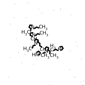 C1CCNC1.CCCC1CCCN1CCC.CCCCC1CCCN1CCCC.CCCCN1CCCC1.CCCCN1CCCC1C.CCCCN1CCCC1CC